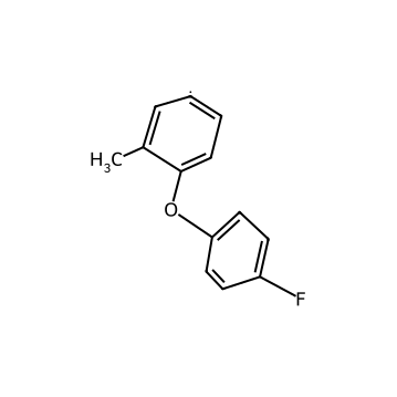 Cc1c[c]ccc1Oc1ccc(F)cc1